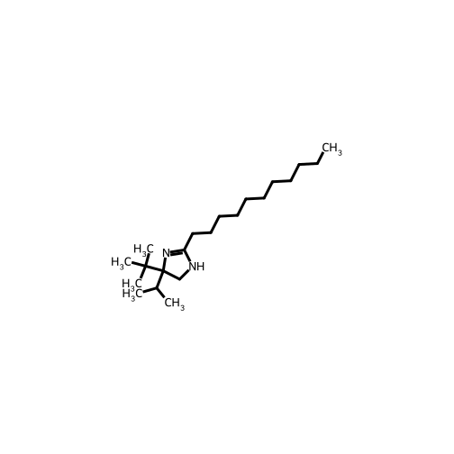 CCCCCCCCCCCC1=NC(C(C)C)(C(C)(C)C)CN1